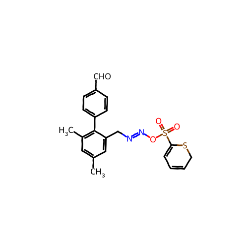 Cc1cc(C)c(-c2ccc(C=O)cc2)c(CN=NOS(=O)(=O)C2=CC=CCS2)c1